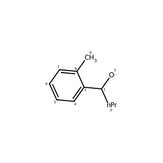 CCCC([O])c1ccccc1C